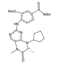 CNC(=O)c1ccc(Nc2ncc3c(n2)N(C2CCCC2)[C@H](C)C(=O)N3C)c(OC)c1